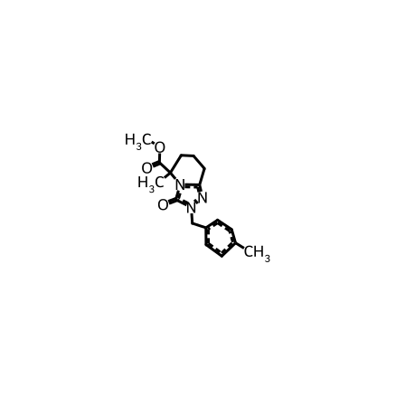 COC(=O)C1(C)CCCc2nn(Cc3ccc(C)cc3)c(=O)n21